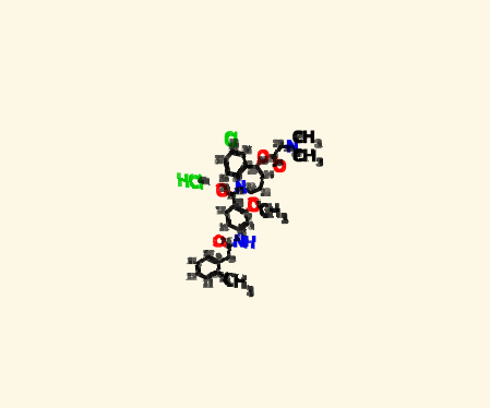 COc1cc(NC(=O)Cc2ccccc2C)ccc1C(=O)N1CCCC(OC(=O)CN(C)C)c2cc(Cl)ccc21.Cl